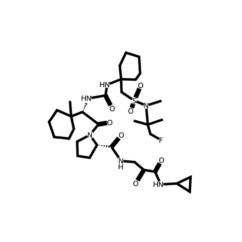 CN(C(C)(C)CF)S(=O)(=O)CC1(NC(=O)N[C@H](C(=O)N2CCC[C@H]2C(=O)NCC(=O)C(=O)NC2CC2)C2(C)CCCCC2)CCCCC1